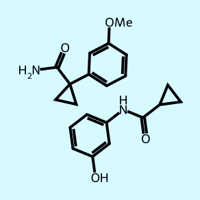 COc1cccc(C2(C(N)=O)CC2)c1.O=C(Nc1cccc(O)c1)C1CC1